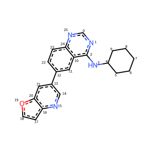 c1nc(NC2CCCCC2)c2cc(-c3cnc4ccoc4c3)ccc2n1